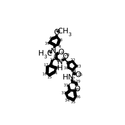 COc1ccc(N(C)C(=O)[C@H](Cc2ccccc2)NC(=O)[C@H]2CC[C@@H](C(=O)N[C@H](C=O)Cc3ccccc3)C2)cc1